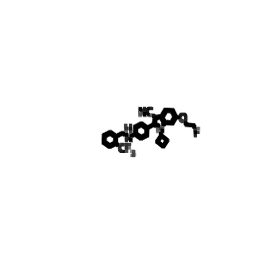 N#Cc1c(-c2ccc(NCc3ccccc3C(F)(F)F)cc2)n(C2CCC2)c2cc(OCCF)ccc12